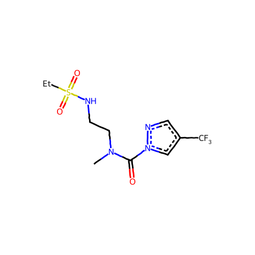 CCS(=O)(=O)NCCN(C)C(=O)n1cc(C(F)(F)F)cn1